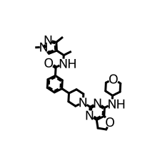 Cc1nn(C)cc1C(C)NC(=O)c1cccc(C2CCN(c3nc4c(c(NC5CCOCC5)n3)OCC4)CC2)c1